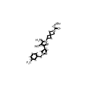 CC(C)(C)OC(=O)N1CC2(CC(n3nc(-c4cnn(Cc5cccc(C(F)(F)F)c5)c4)c(C#N)c3N)C2)C1